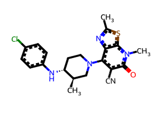 Cc1nc2c(N3CC[C@@H](Nc4ccc(Cl)cc4)[C@H](C)C3)c(C#N)c(=O)n(C)c2s1